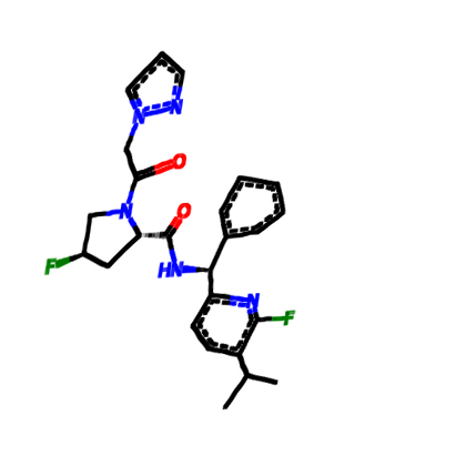 CC(C)c1ccc([C@@H](NC(=O)[C@@H]2C[C@@H](F)CN2C(=O)Cn2cccn2)c2ccccc2)nc1F